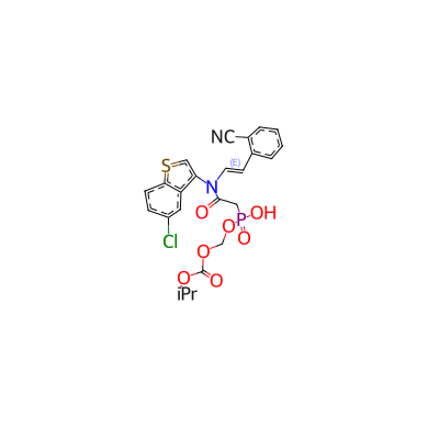 CC(C)OC(=O)OCOP(=O)(O)CC(=O)N(/C=C/c1ccccc1C#N)c1csc2ccc(Cl)cc12